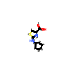 O=C(O)c1csc(Nc2ccccc2)n1